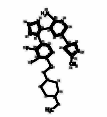 CCC1CCC(COc2ccc(-n3nnnc3-c3cc(-c4cnn(C)c4)cnc3N)c(F)c2F)CC1